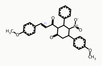 COc1ccc(/C=C/C(=O)C2C(=O)CC(c3ccc(OC)cc3)C([N+](=O)[O-])C2c2ccccc2)cc1